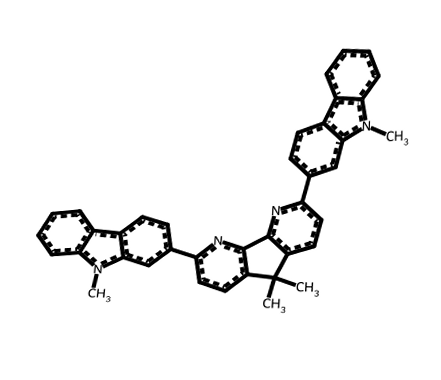 Cn1c2ccccc2c2ccc(-c3ccc4c(n3)-c3nc(-c5ccc6c7ccccc7n(C)c6c5)ccc3C4(C)C)cc21